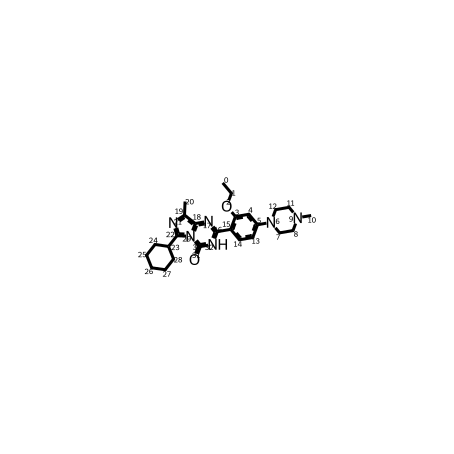 CCOc1cc(N2CCN(C)CC2)ccc1-c1nc2c(C)nc(C3CCCCC3)n2c(=O)[nH]1